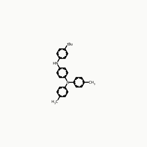 Cc1ccc(N(c2ccc(C)cc2)c2ccc(Nc3ccc(C(C)(C)C)cc3)cc2)cc1